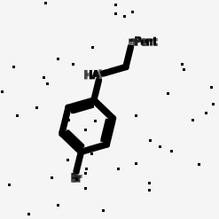 CCCCC[CH2][AlH][c]1ccc(Br)cc1